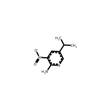 CC(C)c1cnc(N)c([N+](=O)[O-])c1